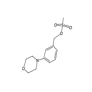 CS(=O)(=O)OCc1cccc(N2CCOCC2)c1